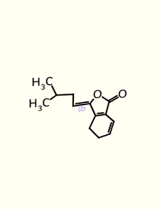 CC(C)C/C=C1\OC(=O)C2=C1CCC=C2